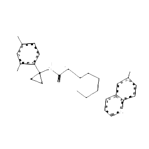 C[C@@H](C(=O)NC1(c2ccc(Cl)cc2Cl)CC1)[C@H]1CC[C@@H](c2ccnc3ccc(F)cc32)CC1